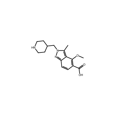 COc1c(C(=O)O)ccc2nn(CC3CCNCC3)c(C)c12